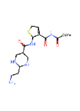 COC(=O)NC(=O)C1=CCSC1NC(=O)C1CNC(CCN)NC1